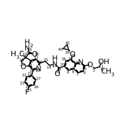 C[C@@H](O)COc1ccc2cc(C(=O)NCCc3cc4c(c(-c5ccc(F)cc5)n3)OC[C@]4(C)C(N)=O)cc(OC3CC3)c2n1